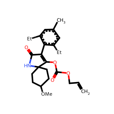 C=CCOC(=O)OC1=C(c2c(CC)cc(C)cc2CC)C(=O)NC12CCC(OC)CC2